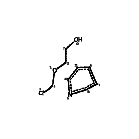 OCCOCCl.c1ccncc1